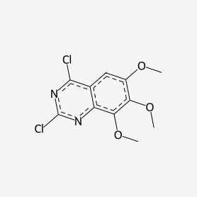 COc1cc2c(Cl)nc(Cl)nc2c(OC)c1OC